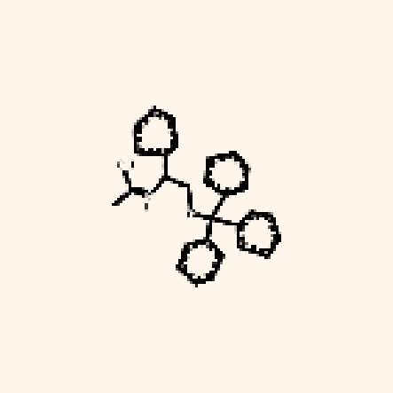 CC(O)=[SH]C(COC(c1ccccc1)(c1ccccc1)c1ccccc1)c1ccccc1